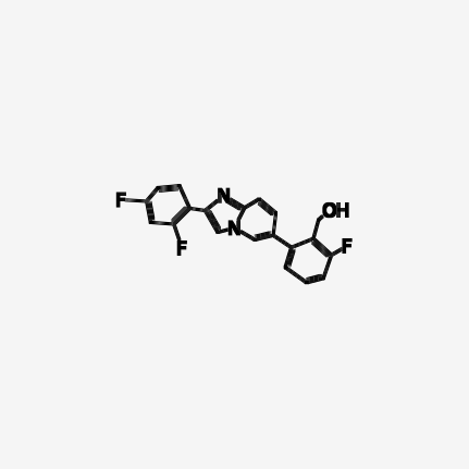 OCc1c(F)cccc1-c1ccc2nc(-c3ccc(F)cc3F)cn2c1